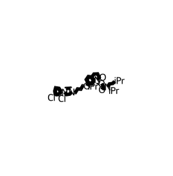 CC(C)CCN(C(=O)OC(C(C)C)N1C(=O)CCc2ccc(OCCCCN3CCN(c4cccc(Cl)c4Cl)CC3)cc21)C(C)C